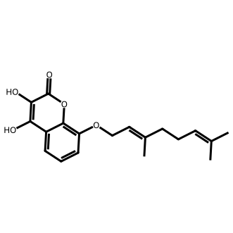 CC(C)=CCC/C(C)=C/COc1cccc2c(O)c(O)c(=O)oc12